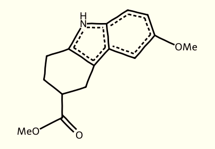 COC(=O)C1CCc2[nH]c3ccc(OC)cc3c2C1